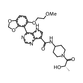 COCCOc1ccc2c(c1-c1ncnc3c(C(=O)NC4CCN(C(=O)[C@H](C)O)CC4)c[nH]c13)OCO2